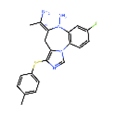 C/C(N)=C1\Cc2c(Sc3ccc(C)cc3)ncn2-c2ccc(F)cc2N1N